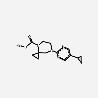 CC(C)(C)OC(=O)N1CCN(c2ncc(C3CC3)cn2)CC12CC2